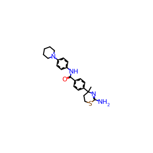 CC1(c2ccc(C(=O)Nc3ccc(N4CCCCC4)cc3)cc2)CCSC(N)=N1